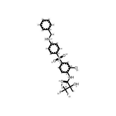 CC(O)(C(=O)Nc1ccc(S(=O)(=O)c2ccc(NCc3ccccc3)cc2)cc1Cl)C(F)(F)F